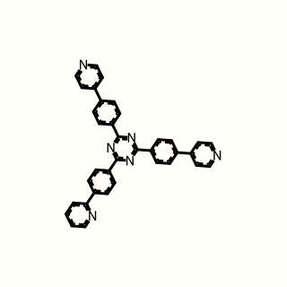 c1ccc(-c2ccc(-c3nc(-c4ccc(-c5ccncc5)cc4)nc(-c4ccc(-c5ccncc5)cc4)n3)cc2)nc1